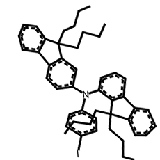 CCCCC1(CCCC)c2ccccc2-c2ccc(N(c3ccc(I)cc3)c3cccc4c3C(CCCC)(CCCC)c3ccccc3-4)cc21